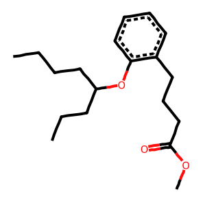 CCCCC(CCC)Oc1ccccc1CCCC(=O)OC